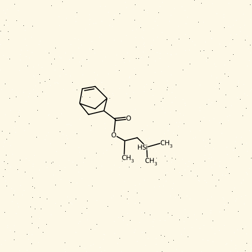 CC(C[SiH](C)C)OC(=O)C1CC2C=CC1C2